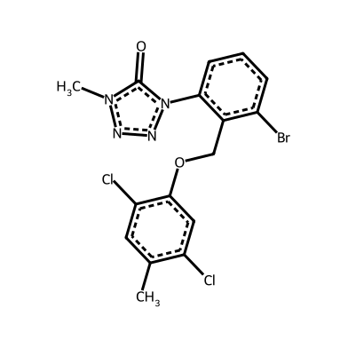 Cc1cc(Cl)c(OCc2c(Br)cccc2-n2nnn(C)c2=O)cc1Cl